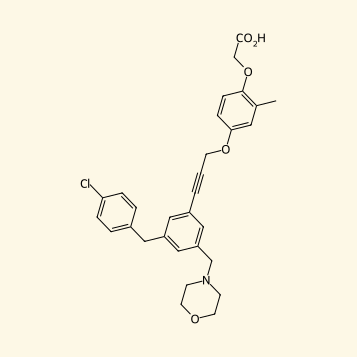 Cc1cc(OCC#Cc2cc(Cc3ccc(Cl)cc3)cc(CN3CCOCC3)c2)ccc1OCC(=O)O